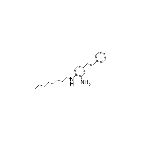 CCCCCCCCNc1ccc(C=Cc2ccccc2)cc1N